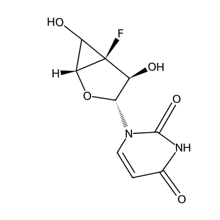 O=c1ccn([C@@H]2O[C@@H]3C(O)[C@]3(F)[C@H]2O)c(=O)[nH]1